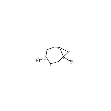 NC12CC[C@H](S)CCC1C2